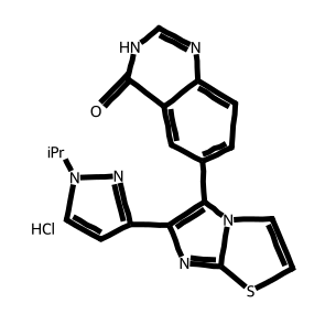 CC(C)n1ccc(-c2nc3sccn3c2-c2ccc3nc[nH]c(=O)c3c2)n1.Cl